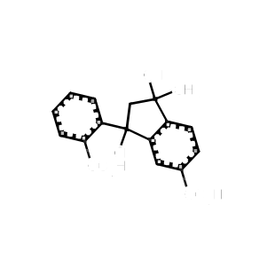 CC1(C)CC(C)(c2ccccc2C(=O)O)c2cc(C(=O)O)ccc21